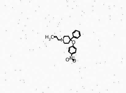 C=CCN1CCC(Oc2ccc([N+](=O)[O-])cc2)(c2ccccc2)CC1